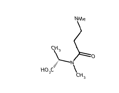 CNCCC(=O)N(C)[C@@H](C)C(=O)O